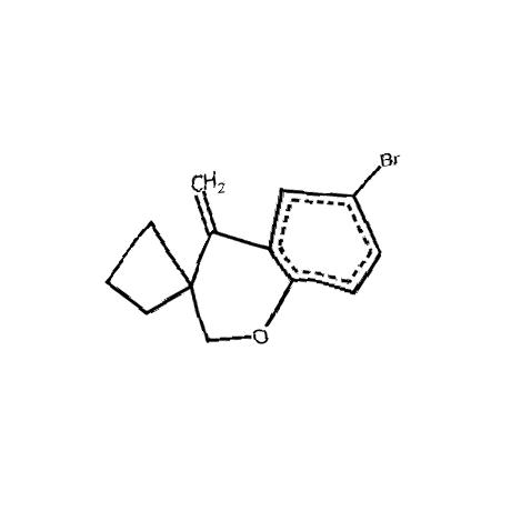 C=C1c2cc(Br)ccc2OCC12CCC2